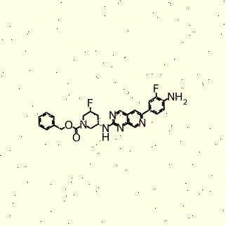 Nc1ccc(-c2cc3cnc(N[C@H]4C[C@H](F)CN(C(=O)OCc5ccccc5)C4)nc3cn2)cc1F